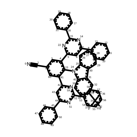 N#Cc1cc(-c2cc(-c3ccccc3)nc(-c3ccccc3)n2)c(-n2c3ccccc3c3cc(C(F)(F)F)ccc32)c(-c2cc(-c3ccccc3)nc(-c3ccccc3)n2)c1